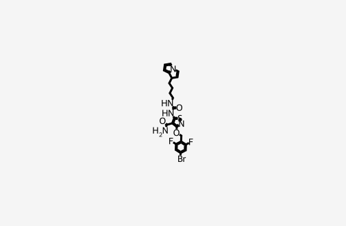 NC(=O)c1c(OCc2c(F)cc(Br)cc2F)nsc1NC(=O)NCCCCC1C=Cn2cccc21